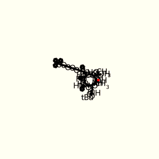 C[C@@H](O)[C@@H]1NC(=O)[C@H](CCCCNC(=O)OC(C)(C)C)NC(=O)[C@@H](Cc2c[nH]c3ccccc23)NC(=O)[C@H](Cc2ccccc2)NC(=O)[C@@H](NC(=O)[C@@H](Cc2ccccc2)NCCCOCCOCCOCCOCCSC(c2ccccc2)(c2ccccc2)c2ccccc2)CSSC[C@@H](C(=O)N[C@H](CO)[C@@H](C)O)NC1=O